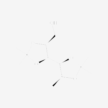 C[C@@H]1OC(C)(C)O[C@@H]1[C@H]1OC(C)(C)O[C@H]1CO